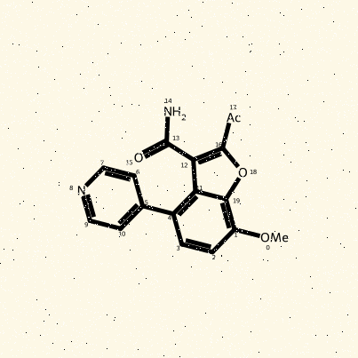 COc1ccc(-c2ccncc2)c2c(C(N)=O)c(C(C)=O)oc12